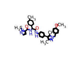 COc1ccc(Cn2nc(C)c(-c3ccc(NC(=O)[C@@H](NC(=O)c4ccnn4C)C4CCC(C)CC4)cc3)c2C)cc1